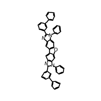 c1ccc(-c2cccc(-c3nc4cc5c(cc4n3-c3ccccc3)oc3cc4c(cc35)nc(-c3cccc(-c5ccccc5)c3)n4-c3ccccc3)c2)cc1